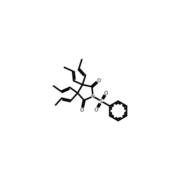 CC=CC1(C=CC)C(=O)N(S(=O)(=O)c2ccccc2)C(=O)C1(C=CC)C=CC